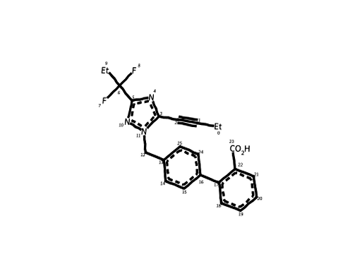 CCC#Cc1nc(C(F)(F)CC)nn1Cc1ccc(-c2ccccc2C(=O)O)cc1